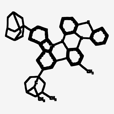 Cc1cc2c3c(c1)N1c4ccccc4Sc4cccc(c41)B3n1c3ccc(C45CC6CC(CC(C6)C4)C5)cc3c3cc(C45CCC(CC(C)C4)C(C)C5)cc-2c31